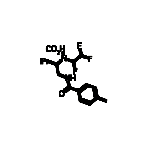 Cc1ccc(C(=O)NCC(C(C)C)N(C(=O)O)C(F)C(F)F)cc1